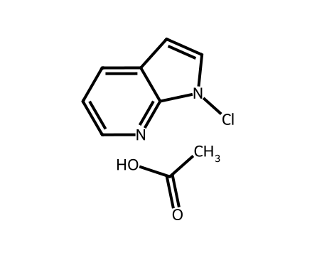 CC(=O)O.Cln1ccc2cccnc21